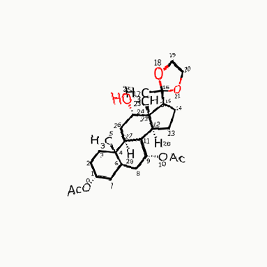 CC(=O)O[C@@H]1CC[C@@]2(C)C(C1)C[C@@H](OC(C)=O)C1[C@@H]3CC[C@H](C4(C)OCCO4)[C@@]3(C)[C@@H](O)C[C@@H]12